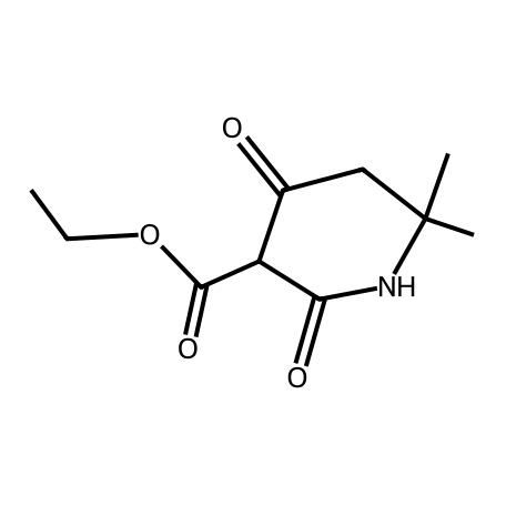 CCOC(=O)C1C(=O)CC(C)(C)NC1=O